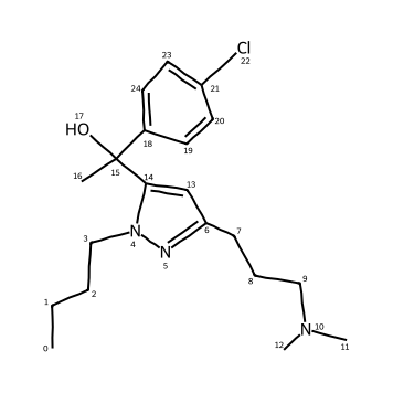 CCCCn1nc(CCCN(C)C)cc1C(C)(O)c1ccc(Cl)cc1